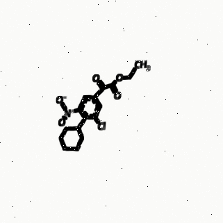 CCOC(=O)C(=O)c1cc(Cl)c(C2CCCCC2)c([N+](=O)[O-])c1